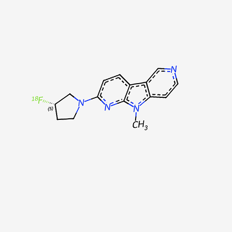 Cn1c2ccncc2c2ccc(N3CC[C@H]([18F])C3)nc21